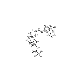 CC(F)(F)C(=O)OC12CC3CC(C1)C1(SCC(COC(=O)C45CC6CC(CC(C6)C4)C5)S1)C(C3)C2